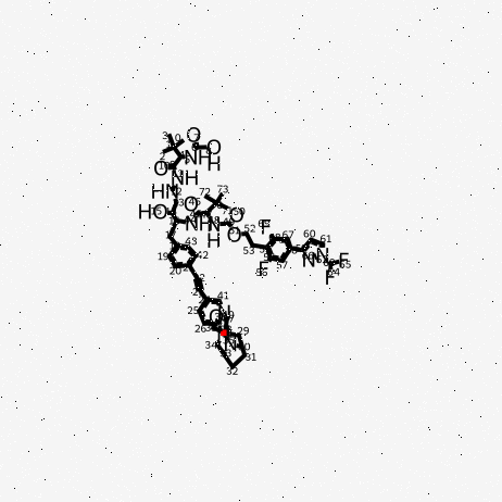 CC(C)(C)C(NC(=O)O)C(=O)NNCC(O)C(Cc1ccc(C#Cc2ccc(N3CC4CCC(C3)N4C3COC3)nc2)cc1)NC(=O)C(NC(=O)OCCc1c(F)cc(-c2ccn(C(F)F)n2)cc1F)C(C)(C)C